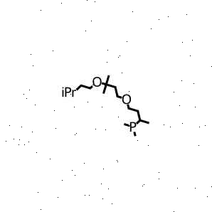 CC(C)CCOC(C)(C)CCOCCC(C)P(C)C